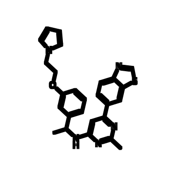 Cc1nc(NC(C)c2cccc(OCCn3cccc3)c2)cc(-c2ccc3ncsc3c2)n1